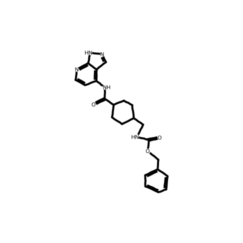 O=C(NCC1CCC(C(=O)Nc2ccnc3[nH]ncc23)CC1)OCc1ccccc1